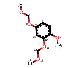 CCOCOc1ccc(OC(C)C)c(OCOCC)c1